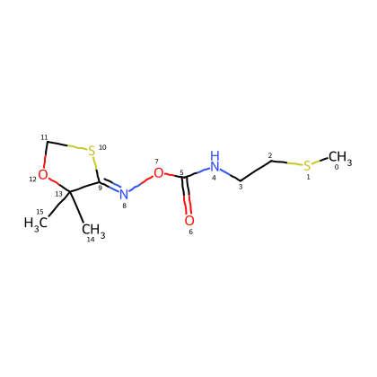 CSCCNC(=O)ON=C1SCOC1(C)C